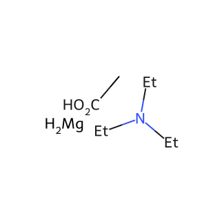 CC(=O)O.CCN(CC)CC.[MgH2]